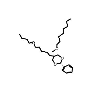 CCCCCCCCOC[C@]1(CCCCCOCCCC)CO[C@H](c2ccccc2)OC1